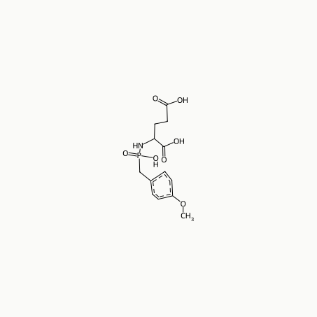 COc1ccc(CP(=O)(O)NC(CCC(=O)O)C(=O)O)cc1